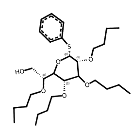 CCCCOC1[C@H](OCCCC)C([C@@H](CO)OCCCC)O[C@H](Sc2ccccc2)[C@@H]1OCCCC